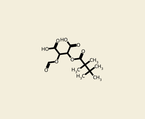 CC(C)(C)C(C)(C)C(=O)OC(C(=O)O)C(OC=O)C(=O)O